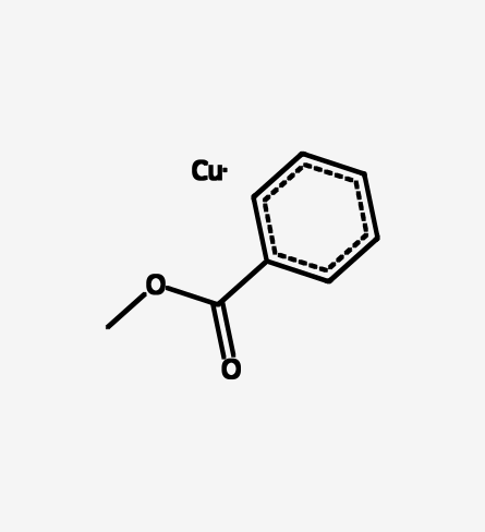 COC(=O)c1ccccc1.[Cu]